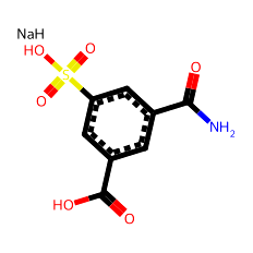 NC(=O)c1cc(C(=O)O)cc(S(=O)(=O)O)c1.[NaH]